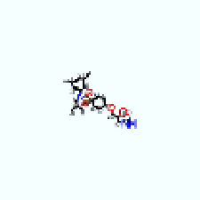 Cc1cc(C)cc(N(CC(C)C)S(=O)(=O)c2ccc(OCC3CNCCO3)cc2)c1